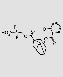 O=C(OC12CC3CC(C1)CC(C(=O)OCC(F)(F)S(=O)(=O)O)(C3)C2)c1ccccc1O